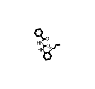 C=CCSc1ccccc1NC(=O)NC(=O)c1ccccc1